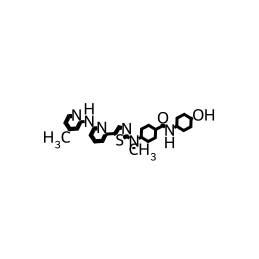 Cc1ccnc(Nc2cccc(-c3cnc(N(C)C4CCC(C(=O)NC5CCC(O)CC5)CC4)s3)n2)c1